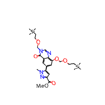 COC(=O)c1cc(-c2cc(OCOCC[Si](C)(C)C)c3ncn(COCC[Si](C)(C)C)c(=O)c3c2)n(C)n1